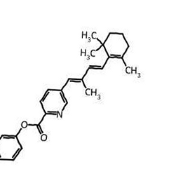 CC1=C(C=C/C(C)=C/c2ccc(C(=O)Oc3ccccc3)nc2)C(C)(C)CCC1